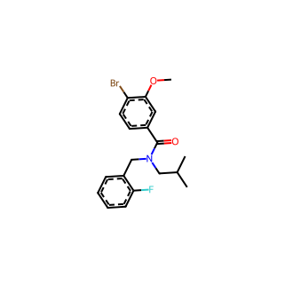 COc1cc(C(=O)N(Cc2ccccc2F)CC(C)C)ccc1Br